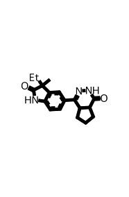 CCC1(C)C(=O)Nc2ccc(C3=NNC(=O)C4CCCC34)cc21